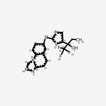 CCC(O)(c1cnc(Sc2ccc3c(ccc4nncn43)c2)s1)C(F)(F)F